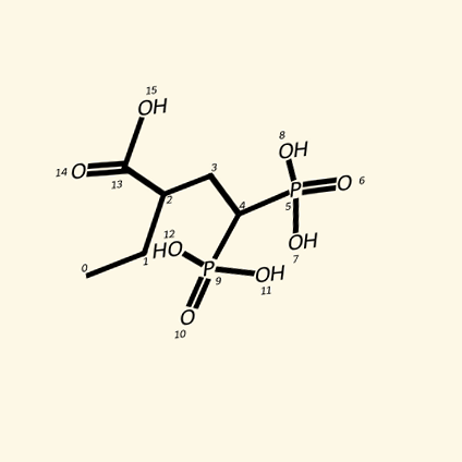 CCC(CC(P(=O)(O)O)P(=O)(O)O)C(=O)O